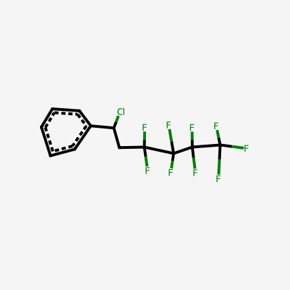 FC(F)(F)C(F)(F)C(F)(F)C(F)(F)CC(Cl)c1ccccc1